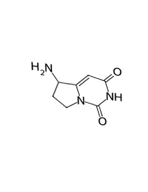 NC1CCn2c1cc(=O)[nH]c2=O